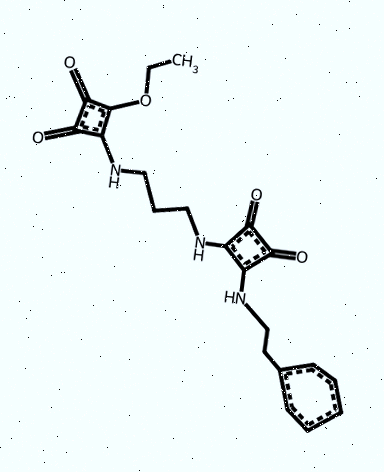 CCOc1c(NCCCNc2c(NCCc3ccccc3)c(=O)c2=O)c(=O)c1=O